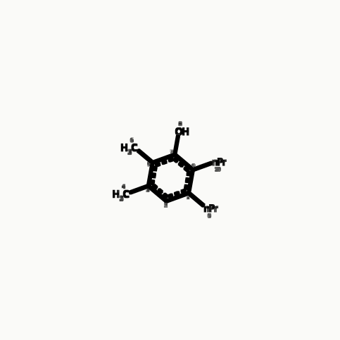 CCCc1cc(C)c(C)c(O)c1CCC